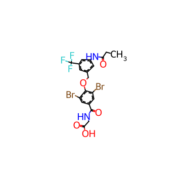 CCC(=O)Nc1cc(COc2c(Br)cc(C(=O)NCC(=O)O)cc2Br)cc(C(F)(F)F)c1